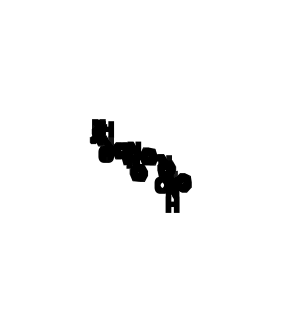 CN(C)CC(C)(C)CNC(=O)c1ccc2c(c1)=CN(c1ccccc1)C(c1ccc(CN3CCC(n4c(=O)[nH]c5ccccc54)CC3)cc1)N=2